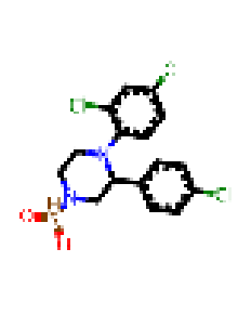 O=[SH](=O)N1CCN(c2ccc(Cl)cc2Cl)C(c2ccc(Cl)cc2)C1